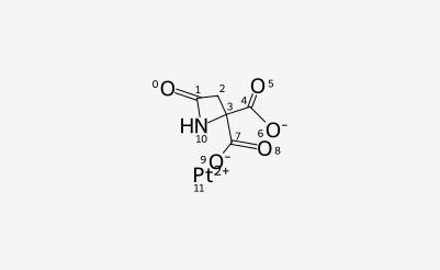 O=C1CC(C(=O)[O-])(C(=O)[O-])N1.[Pt+2]